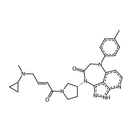 Cc1ccc(N2CC(=O)N([C@@H]3CCN(C(=O)/C=C/CN(C)C4CC4)C3)c3n[nH]c4nccc2c34)cc1